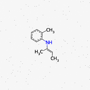 C/C=C(\C)Nc1ccccc1C